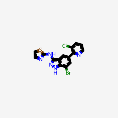 Clc1cccnc1-c1cc(Br)c2[nH]nc(Nc3nccs3)c2c1